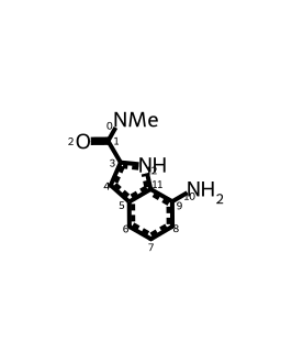 CNC(=O)c1cc2cccc(N)c2[nH]1